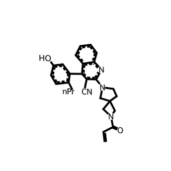 C=CC(=O)N1CC2(CCN(c3nc4ccccc4c(-c4cc(O)ccc4CCC)c3C#N)C2)C1